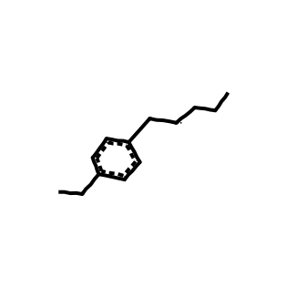 CCC[CH]Cc1ccc(CC)cc1